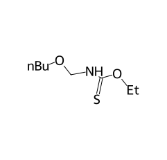 CCCCOCNC(=S)OCC